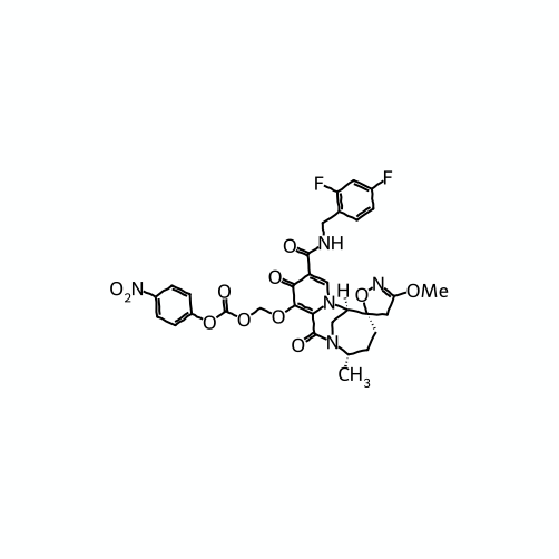 COC1=NO[C@@]2(CC[C@H](C)N3C[C@H]2n2cc(C(=O)NCc4ccc(F)cc4F)c(=O)c(OCOC(=O)Oc4ccc([N+](=O)[O-])cc4)c2C3=O)C1